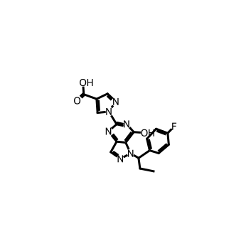 CCC(c1ccc(F)cc1)n1ncc2nc(-n3cc(C(=O)O)cn3)nc(O)c21